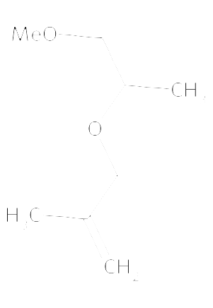 C=C(C)COC(C)COC